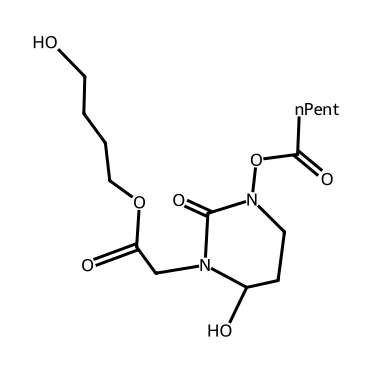 CCCCCC(=O)ON1CCC(O)N(CC(=O)OCCCCO)C1=O